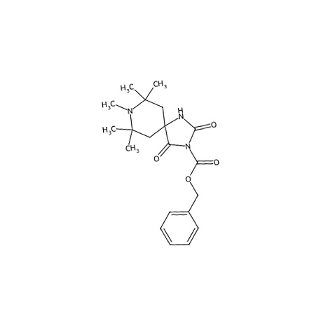 CN1C(C)(C)CC2(CC1(C)C)NC(=O)N(C(=O)OCc1ccccc1)C2=O